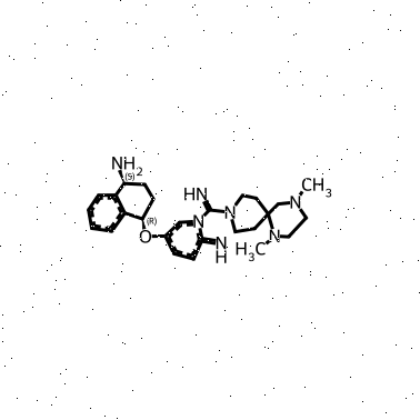 CN1CCN(C)C2(CCN(C(=N)n3cc(O[C@@H]4CC[C@H](N)c5ccccc54)ccc3=N)CC2)C1